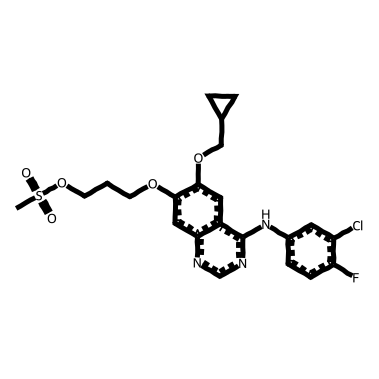 CS(=O)(=O)OCCCOc1cc2ncnc(Nc3ccc(F)c(Cl)c3)c2cc1OCC1CC1